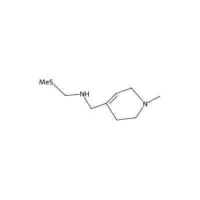 CSCNCC1=CCN(C)CC1